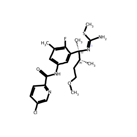 COCC[C@@H](C)[C@](C)(/N=C(/N)SC)c1cc(NC(=O)c2ccc(Cl)cn2)cc(C)c1F